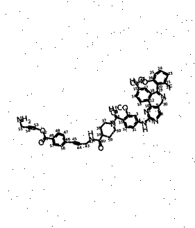 COc1cc(Nc2ncc3c(n2)-c2ccc(Cl)cc2C(c2c(F)cccc2OC)=NC3)ccc1C(=O)N1CCC(C(=O)NCC#Cc2ccc(C(=O)OC#CCN)cc2)CC1